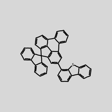 c1ccc2c(c1)-c1ccccc1C21c2cccc3c4ccccc4c4cc(-c5cccc6c5sc5ccccc56)cc1c4c23